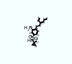 C=C/C=C(\C=C)CCc1ccc(S(=O)(=O)NC2(C)CC2)cc1N